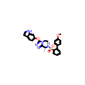 CCn1c(Oc2ccc3cc[nH]c3c2)nnc1[C@@H](C)NS(=O)(=O)c1ccccc1-c1ccc(OC)cc1